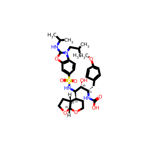 COc1ccc(C[C@H](NC(=O)O)[C@@H](O)C(NS(=O)(=O)c2ccc3c(c2)OC(NC(C)C)N3CC(C)C)[C@H]2CCO[C@@H]3OCC[C@@H]32)cc1